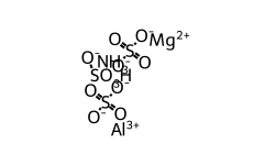 N.O=S(=O)([O-])O.O=S(=O)([O-])[O-].O=S(=O)([O-])[O-].[Al+3].[Mg+2]